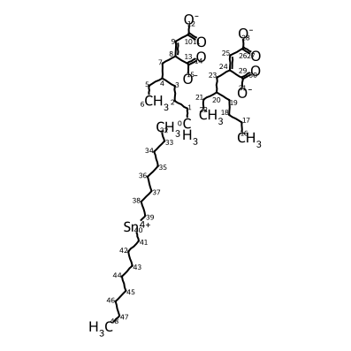 CCCCC(CC)C/C(=C/C(=O)[O-])C(=O)[O-].CCCCC(CC)C/C(=C/C(=O)[O-])C(=O)[O-].CCCCCCC[CH2][Sn+4][CH2]CCCCCCC